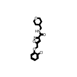 O=C(NCC1CCOCC1)c1cc(COc2ccccc2Cl)on1